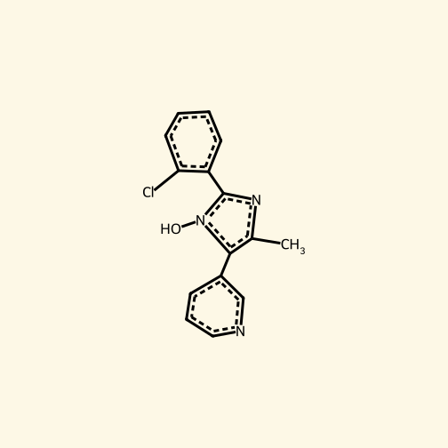 Cc1nc(-c2ccccc2Cl)n(O)c1-c1cccnc1